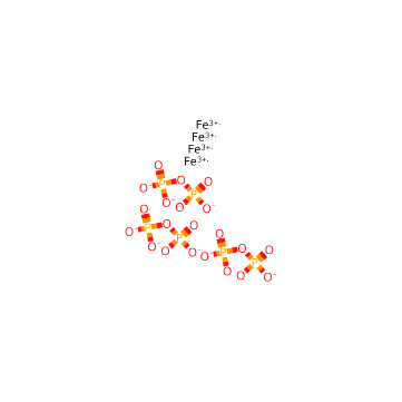 O=P([O-])([O-])OP(=O)([O-])[O-].O=P([O-])([O-])OP(=O)([O-])[O-].O=P([O-])([O-])OP(=O)([O-])[O-].[Fe+3].[Fe+3].[Fe+3].[Fe+3]